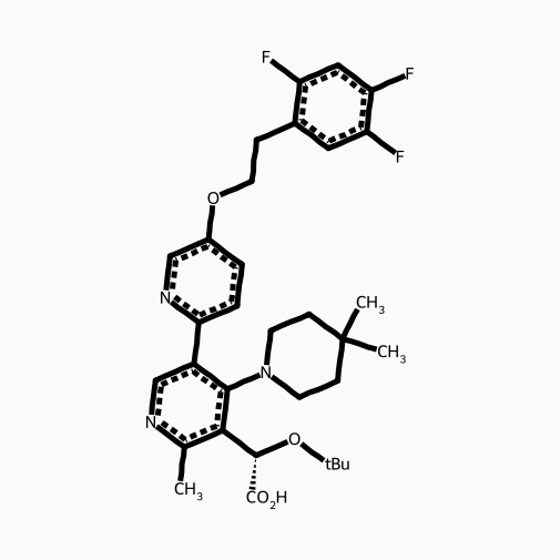 Cc1ncc(-c2ccc(OCCc3cc(F)c(F)cc3F)cn2)c(N2CCC(C)(C)CC2)c1[C@H](OC(C)(C)C)C(=O)O